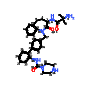 CC(C)(N)C(=O)N[C@@H]1CCc2ccccc2N(Cc2ccc(-c3ccccc3NC(=O)N3CCNCC3)cc2)C1=O